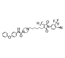 CC1=C(CCCCCCN2CCN(C(=O)Nc3ccc(Oc4ccccc4)cc3)CC2)C(=O)N(c2ccc(C#N)c(C(F)(F)F)c2)C1=O